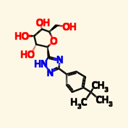 CC(C)(C)c1ccc(-c2n[nH]c([C@@H]3O[C@H](CO)[C@@H](O)[C@H](O)[C@H]3O)n2)cc1